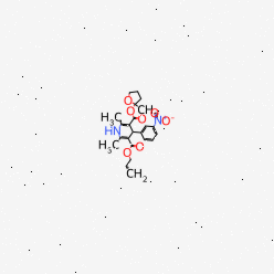 C=CCOC(=O)C1=C(C)NC(C)=C(C(=O)OC2(C)CCCO2)C1c1cccc([N+](=O)[O-])c1